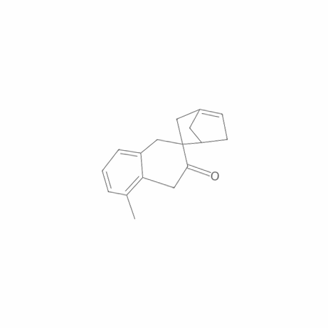 Cc1cccc2c1CC(=O)C1(CC3=CCC1C3)C2